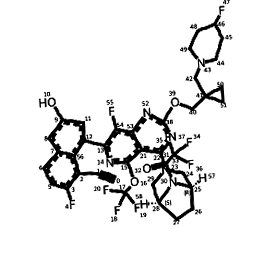 C#Cc1c(F)ccc2cc(O)cc(-c3nc(OC(F)(F)F)c4c(N5C[C@H]6CC[C@@H](C5)N6C(=O)C(F)(F)F)nc(OCC5(CN6CCC(F)CC6)CC5)nc4c3F)c12